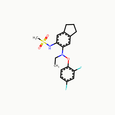 CCN(Oc1ccc(F)cc1F)c1cc2c(cc1NS(C)(=O)=O)CCC2